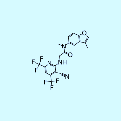 Cc1coc2ccc(N(C)C(=O)CNc3nc(C(F)(F)F)cc(C(F)(F)F)c3C#N)cc12